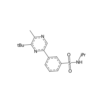 Cc1ncc(-c2cccc(S(=O)(=O)NC(C)C)c2)nc1C(C)(C)C